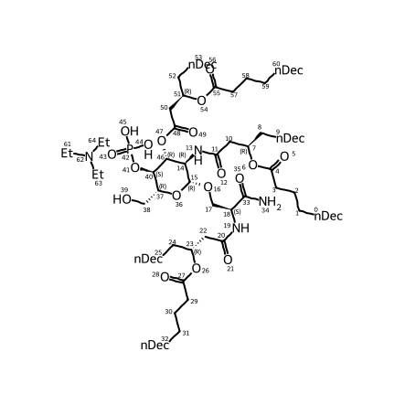 CCCCCCCCCCCCCC(=O)O[C@H](CCCCCCCCCCC)CC(=O)N[C@H]1[C@H](OC[C@H](NC(=O)C[C@@H](CCCCCCCCCCC)OC(=O)CCCCCCCCCCCCC)C(N)=O)O[C@H](CO)[C@@H](OP(=O)(O)O)[C@@H]1OC(=O)C[C@@H](CCCCCCCCCCC)OC(=O)CCCCCCCCCCCCC.CCN(CC)CC